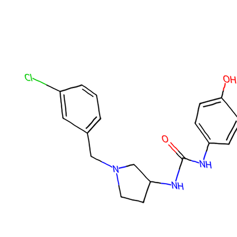 O=C(Nc1ccc(O)cc1)NC1CCN(Cc2cccc(Cl)c2)C1